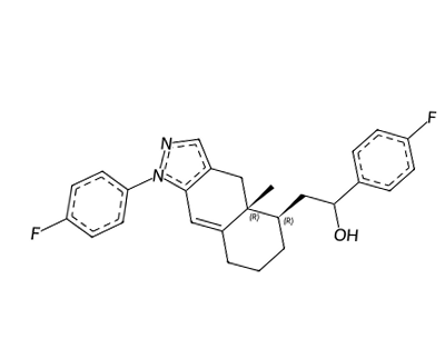 C[C@]12Cc3cnn(-c4ccc(F)cc4)c3C=C1CCC[C@@H]2CC(O)c1ccc(F)cc1